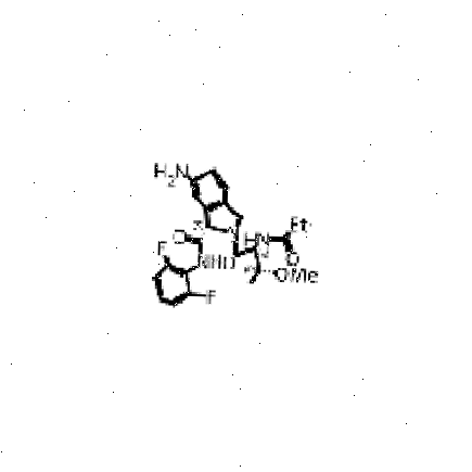 C[CH]C(=O)N[C@H](C(=O)N1Cc2ccc(N)cc2[C@H]1C(=O)Nc1c(F)cccc1F)[C@@H](C)OC